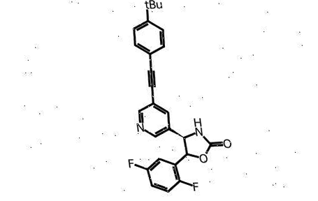 CC(C)(C)c1ccc(C#Cc2cncc([C@H]3NC(=O)OC3c3cc(F)ccc3F)c2)cc1